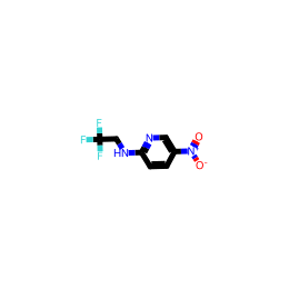 O=[N+]([O-])c1ccc(NCC(F)(F)F)nc1